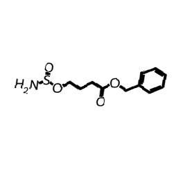 NS(=O)OCCCC(=O)OCc1ccccc1